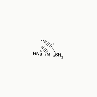 BC#N.C#N.[NaH]